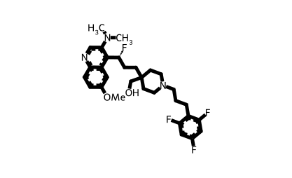 COc1ccc2ncc(N(C)C)c([C@H](F)CCC3(CO)CCN(CCCc4c(F)cc(F)cc4F)CC3)c2c1